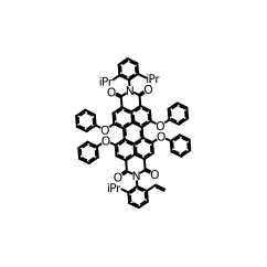 C=Cc1cccc(C(C)C)c1N1C(=O)c2cc(Oc3ccccc3)c3c4c(Oc5ccccc5)cc5c6c(cc(Oc7ccccc7)c(c7c(Oc8ccccc8)cc(c2c37)C1=O)c64)C(=O)N(c1c(C(C)C)cccc1C(C)C)C5=O